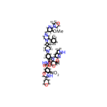 COc1cc(CN2CCN([C@@H]3CC4(CCN(c5ccc(C(=O)NS(=O)(=O)c6cc7c(c([N+](=O)[O-])c6)N[C@H](C6CCOCC6)CO7)c(N6c7cc8cc[nH]c8nc7O[C@H]7COCC[C@@H]76)c5)CC4)[C@H]3C)[C@H](c3ccccc3C)C2)cnc1N1CCOC[C@@H]1C